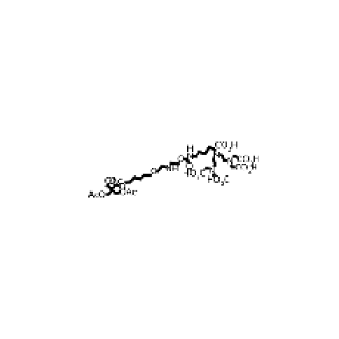 CC(=O)OCC(COC(C)=O)(COC(C)=O)C(=O)OCCCCCCOCCNCCOC(=O)NCCCCC(C(=O)O)N(CCN(CC(=O)O)CC(=O)O)CCN(CC(=O)O)CC(=O)O